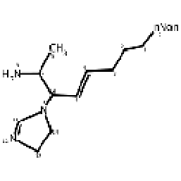 CCCCCCCCCCCCC=CC(C(C)N)N1C=NCC1